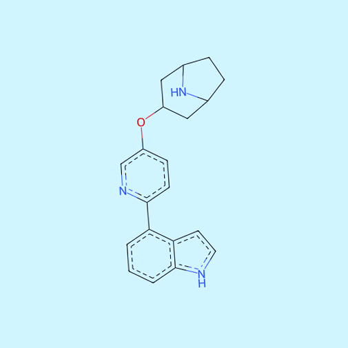 c1cc(-c2ccc(OC3CC4CCC(C3)N4)cn2)c2cc[nH]c2c1